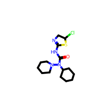 O=C(NC1=NCC(Cl)S1)N(C1CCCCC1)N1CCCCC1